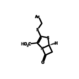 CC(=O)CSC1=C(C(=O)O)N2C(=O)C[C@@H]2S1